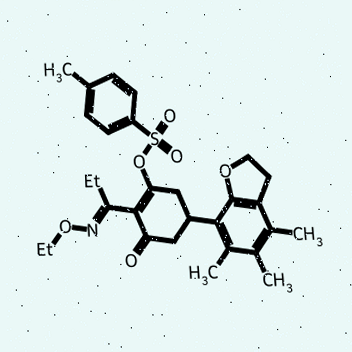 CCON=C(CC)C1=C(OS(=O)(=O)c2ccc(C)cc2)CC(c2c(C)c(C)c(C)c3c2OCC3)CC1=O